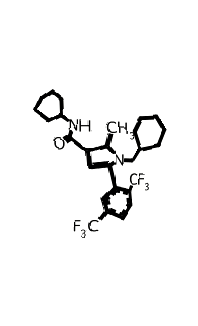 CC1C(C(=O)NC2CCCCC2)C=C(c2cc(C(F)(F)F)ccc2C(F)(F)F)N1CC1CCCCC1